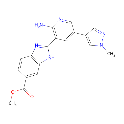 COC(=O)c1ccc2nc(-c3cc(-c4cnn(C)c4)cnc3N)[nH]c2c1